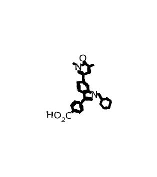 Cc1cc(-c2ccc3c(-c4ccc(C(=O)O)cc4)cn(CC4CCCCC4)c3c2)cn(C)c1=O